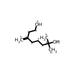 C=C(CCO)CCCC(C)(C)O